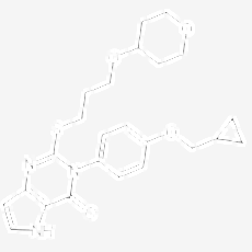 O=c1c2[nH]ccc2nc(SCCCOC2CCOCC2)n1-c1ccc(OCC2CC2)cc1